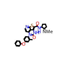 CN[C@H]1CCCC1NC(=O)c1sc2nccc3c2c1NC(=O)N3c1ccc(Oc2ccccc2)cc1C